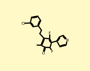 [CH2]C1=C(CCc2cccc(Cl)c2)C(F)=C(c2ccncc2)C(F)C1=O